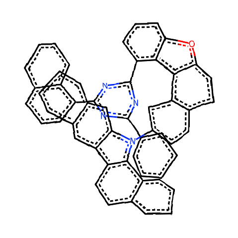 c1ccc(-c2nc(-c3cccc4ccccc34)nc(-c3cccc4oc5ccc6ccc(-n7c8cc9ccccc9cc8c8ccc9ccccc9c87)cc6c5c34)n2)cc1